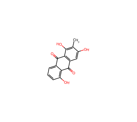 Cc1c(O)cc2c(c1O)C(=O)c1cccc(O)c1C2=O